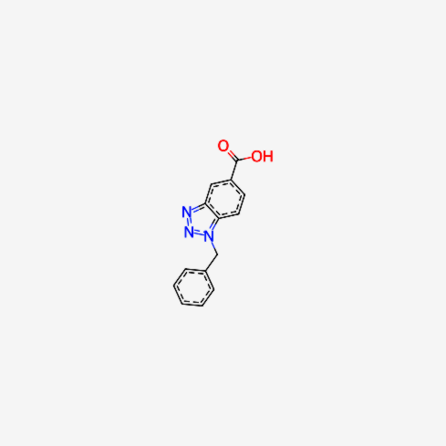 O=C(O)c1ccc2c(c1)nnn2Cc1ccccc1